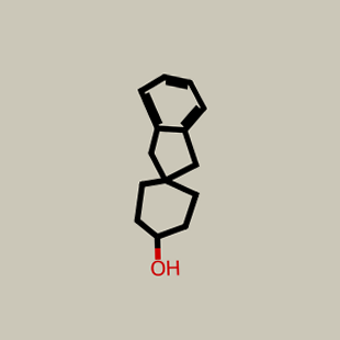 OC1CCC2(CC1)Cc1ccccc1C2